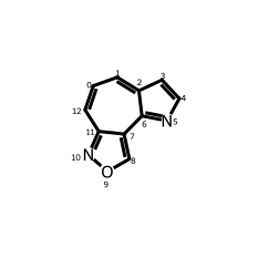 c1cc2ccnc-2c2conc2c1